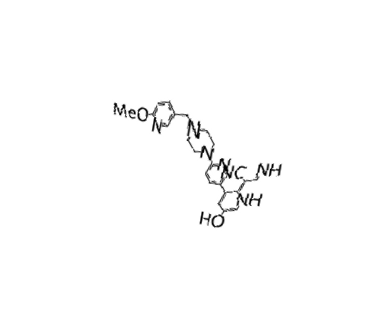 COc1ccc(CN2CCN(c3ccc(C4=CC(O)=CN/C4=C(/C#N)C=N)cn3)CC2)cn1